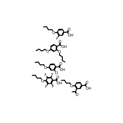 CCCCOc1c(F)c(F)c(C(=O)O)c(F)c1F.CCCCOc1ccc(C(=O)O)c(Cl)c1.CCCCOc1ccc(C(=O)O)c(OCCCC)c1.CCCCOc1ccc(C(=O)O)cc1C(C)=O.CCCCOc1ccc(C(=O)O)cc1F